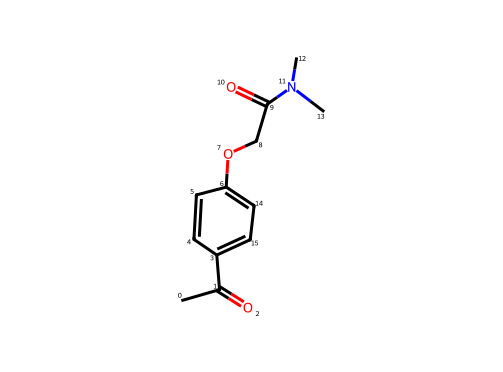 CC(=O)c1ccc(OCC(=O)N(C)C)cc1